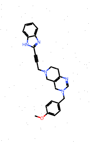 COc1ccc(CN2C=NC3=C(C2)CN(CC#Cc2nc4ccccc4[nH]2)CC3)cc1